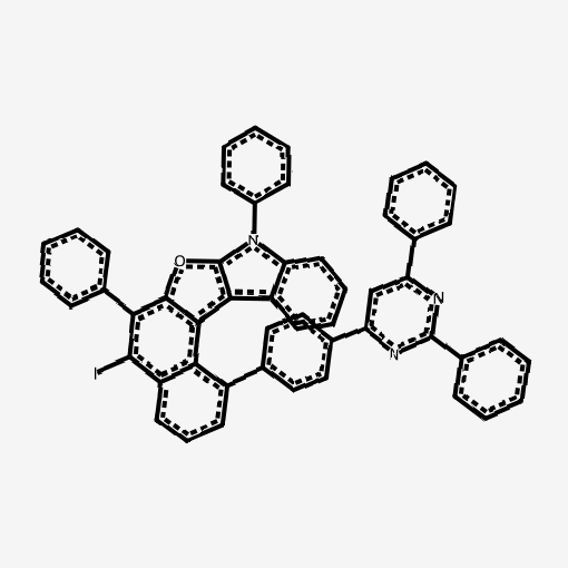 Ic1c(-c2ccccc2)c2oc3c(c4ccccc4n3-c3ccccc3)c2c2c(-c3ccc(-c4cc(-c5ccccc5)nc(-c5ccccc5)n4)cc3)cccc12